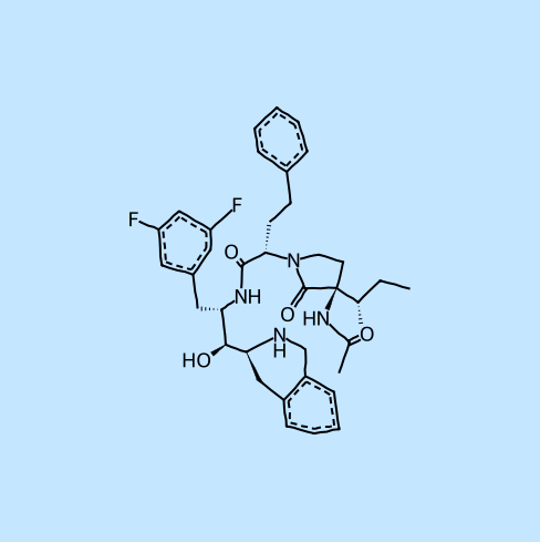 CC[C@H](C)[C@@]1(NC(C)=O)CCN([C@@H](CCc2ccccc2)C(=O)N[C@@H](Cc2cc(F)cc(F)c2)[C@H](O)[C@@H]2Cc3ccccc3CN2)C1=O